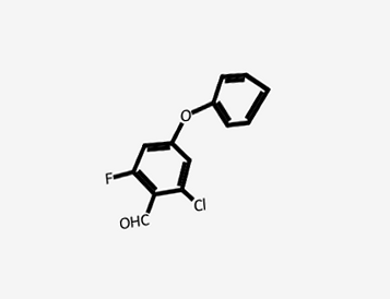 O=Cc1c(F)cc(Oc2ccccc2)cc1Cl